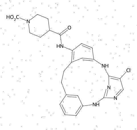 O=C(Nc1ccc2cc1CCc1cccc(c1)Nc1ncc(Cl)c(n1)N2)C1CCN(C(=O)O)CC1